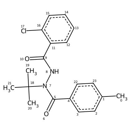 Cc1ccc(C(=O)N(NC(=O)c2ccccc2Cl)C(C)(C)C)cc1